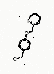 ClCc1ccc(OCc2ccccn2)cc1